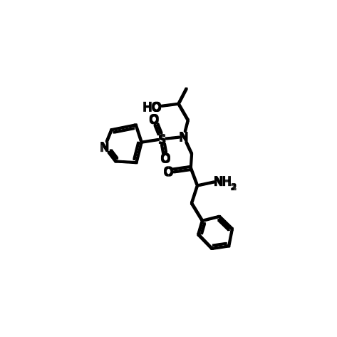 CC(O)CN(CC(=O)C(N)Cc1ccccc1)S(=O)(=O)c1ccncc1